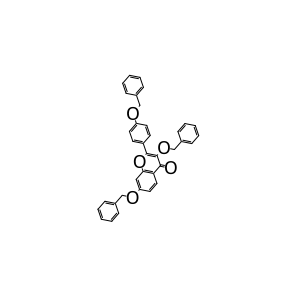 O=c1c(OCc2ccccc2)c(-c2ccc(OCc3ccccc3)cc2)oc2cc(OCc3ccccc3)ccc12